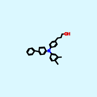 Cc1ccc(N(c2ccc(CCCO)cc2)c2ccc(-c3ccccc3)cc2)cc1C